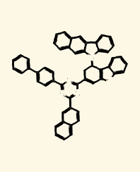 C1=C(c2nc(-c3ccc(-c4ccccc4)cc3)nc(-c3ccc4ccccc4c3)n2)CC(n2c3ccccc3c3cc4ccccc4cc32)c2c1sc1ccccc21